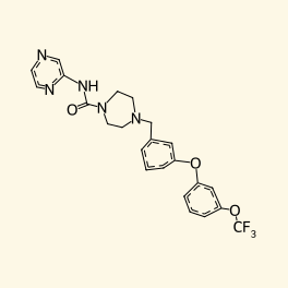 O=C(Nc1cnccn1)N1CCN(Cc2cccc(Oc3cccc(OC(F)(F)F)c3)c2)CC1